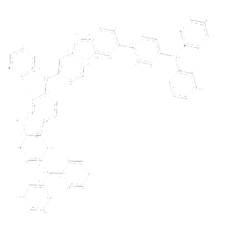 c1ccc(N(c2ccccc2)c2ccc(-c3ccc4sc5cc(N(c6ccccc6)c6ccc7c(c6)sc6ccc(N(c8ccccc8)c8ccccc8)cc67)ccc5c4c3)cc2)cc1